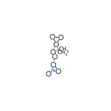 CC1(C)c2cc3c4ccccc4c4ccccc4c3cc2-c2ccc3cc(-c4ccc5c(c4)c4ccccc4n5-c4ccccc4)ccc3c21